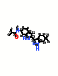 CC(C)C(=O)N(C)c1ccc2cc(-c3n[nH]c4c3CCC(C)(C)C4)[nH]c2c1